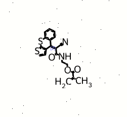 C=C(C)C(=O)OCCNC(=O)/C(C#N)=C1/c2ccccc2Sc2sccc21